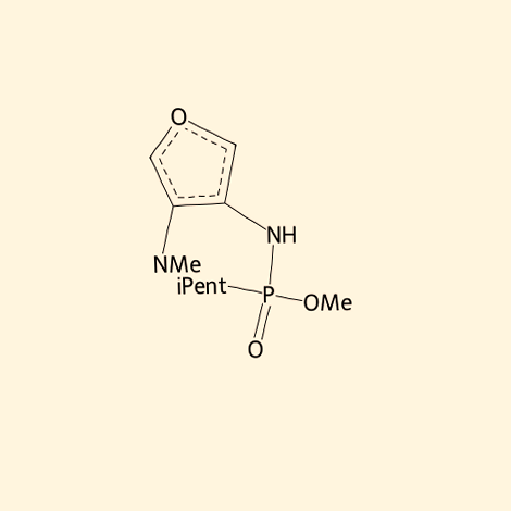 CCCC(C)P(=O)(Nc1cocc1NC)OC